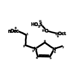 CCCCCCCCCCCCN1C=CN(C)C1.CCCCCCCCOS(=O)(=O)O